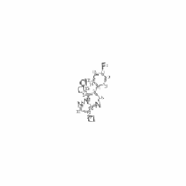 Fc1ccc(-c2cnc3c(Cl)cnn3c2Cl)c(Cl)c1